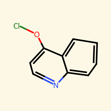 ClOc1ccnc2ccccc12